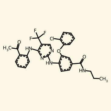 CCCNC(=O)c1ccc(Nc2ncc(C(F)(F)F)c(Nc3ccccc3C(C)=O)n2)c(Oc2ccccc2Cl)c1